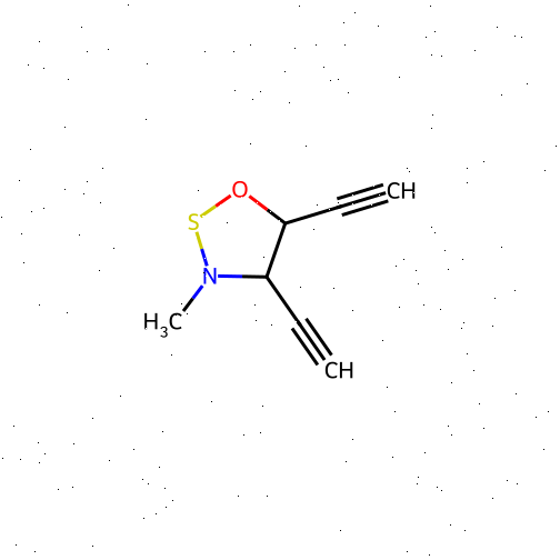 C#CC1OSN(C)C1C#C